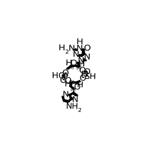 NC1=CC=NC2C([C@H]3C[C@@H]4OP(=O)(O)OC[C@@H]5C[C@@H](OP(=O)(S)OC[C@H]4O3)[C@H](n3cnc4c(=O)[nH]c(N)nc43)O5)=CN=C12